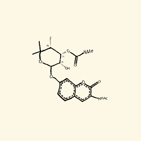 CNC(=O)O[C@@H]1[C@H](O)C(Oc2ccc3cc(NC(C)=O)c(=O)oc3c2)OC(C)(C)[C@@H]1C